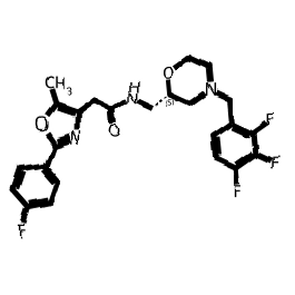 Cc1oc(-c2ccc(F)cc2)nc1CC(=O)NC[C@H]1CN(Cc2ccc(F)c(F)c2F)CCO1